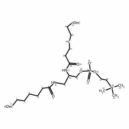 CCCCCCCCCCCCCCCC(=O)NCC(COP(=O)([O-])OCC[N+](C)(C)C)NC(=O)CCCCCCCCCCCCCCC